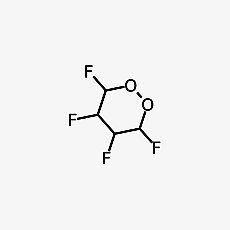 FC1OOC(F)C(F)C1F